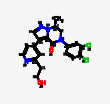 C[C@H]1CN(c2ccc(Cl)c(Cl)c2)C(=O)c2c(-c3ccnc(CCO)c3)cnn21